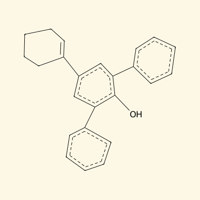 Oc1c(-c2ccccc2)cc(C2=CCCCC2)cc1-c1ccccc1